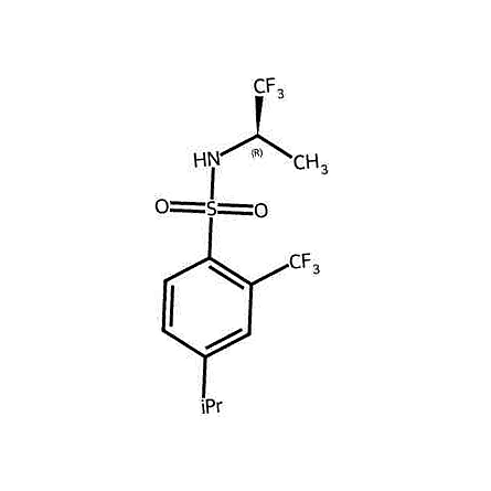 CC(C)c1ccc(S(=O)(=O)N[C@H](C)C(F)(F)F)c(C(F)(F)F)c1